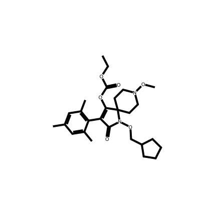 CCOC(=O)OC1=C(c2c(C)cc(C)cc2C)C(=O)N(OCC2CCCC2)C12CCN(OC)CC2